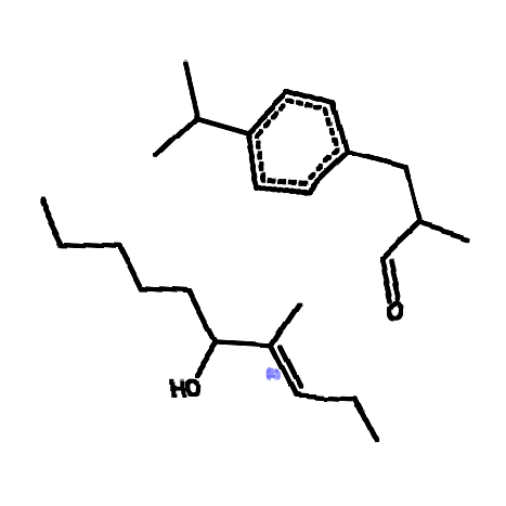 CC(C=O)Cc1ccc(C(C)C)cc1.CC/C=C(\C)C(O)CCCCC